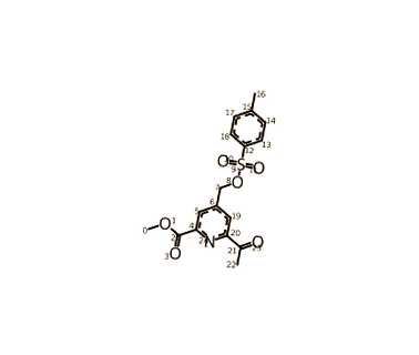 COC(=O)c1cc(COS(=O)(=O)c2ccc(C)cc2)cc(C(C)=O)n1